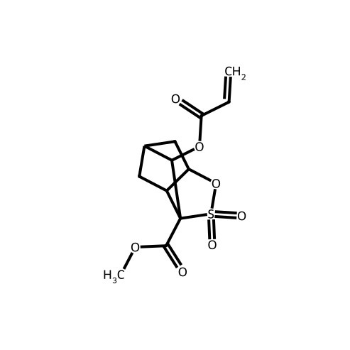 C=CC(=O)OC1C2CC3OS(=O)(=O)C1(C(=O)OC)C3C2